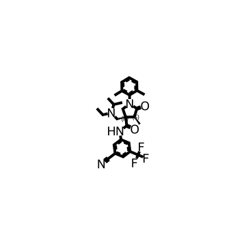 CCN(C[C@@]1(C(=O)Nc2cc(C#N)cc(C(F)(F)F)c2)CN(c2c(C)cccc2C)C(=O)[C@H]1C)C(C)C